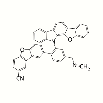 C=NCc1ccc(-c2ccc3oc4ccc(C#N)cc4c3c2)c(-n2c3ccccc3c3ccc4c5ccccc5oc4c32)c1